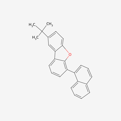 CC(C)(C)c1ccc2oc3c(-c4cccc5ccccc45)cccc3c2c1